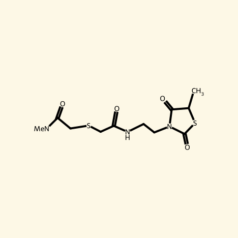 CNC(=O)CSCC(=O)NCCN1C(=O)SC(C)C1=O